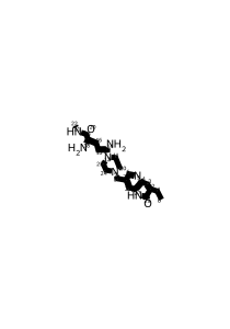 CCc1cc2ncc(CN3CCN(/C(N)=C/C=C(\N)C(=O)NC)CC3)cc2[nH]c1=O